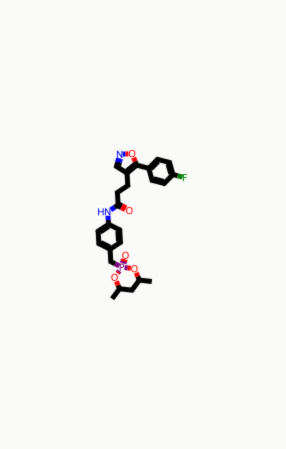 CC1CC(C)OP(=O)(Cc2ccc(NC(=O)CCc3cnoc3-c3ccc(F)cc3)cc2)O1